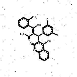 CC(=O)/C(=C(/O)c1ccccc1C)C(c1cc(F)cc(F)c1)c1c(O)c2ccccc2oc1=O